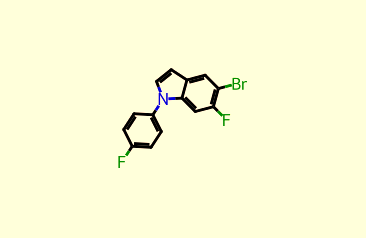 Fc1ccc(-n2ccc3cc(Br)c(F)cc32)cc1